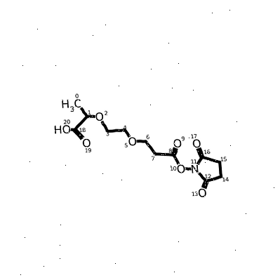 CC(OCCOCCC(=O)ON1C(=O)CCC1=O)C(=O)O